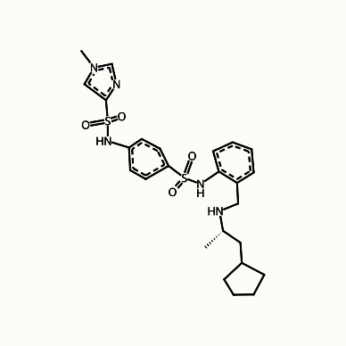 C[C@@H](CC1CCCC1)NCc1ccccc1NS(=O)(=O)c1ccc(NS(=O)(=O)c2cn(C)cn2)cc1